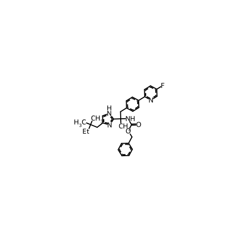 CCC(C)(C)Cc1c[nH]c(C(C)(Cc2ccc(-c3ccc(F)cn3)cc2)NC(=O)OCc2ccccc2)n1